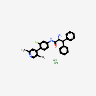 Cc1cc(-c2ccc(NC(=O)[C@@H](N)C(c3ccccc3)c3ccccc3)cc2F)c(C)cn1.Cl.Cl